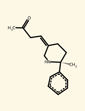 CC(=O)C/C=C1/CC[C@@](C)(c2ccccc2)NC1